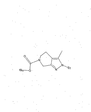 CCn1nc2c(c1C)CCN(C(=O)OC(C)(C)C)C2